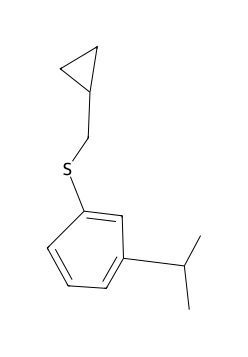 CC(C)c1cccc(SCC2CC2)c1